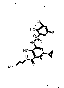 COCCNC(=O)c1c(O)c(NS(=O)(=O)c2cc(Br)cc(Cl)c2O)cc(C2CC2)c1F